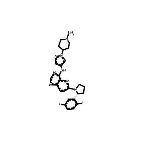 CN1CCC(n2cc(Nc3ncnc4ccc(N5CCC[C@@H]5c5cc(F)ccc5F)nc34)cn2)CC1